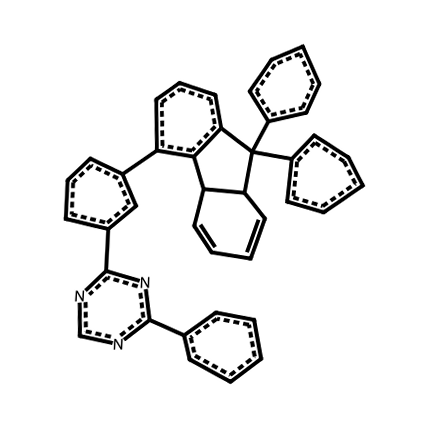 C1=CC2c3c(-c4cccc(-c5ncnc(-c6ccccc6)n5)c4)cccc3C(c3ccccc3)(c3ccccc3)C2C=C1